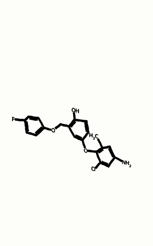 Cc1cc(N)cc(Cl)c1Oc1ccc(O)c(COc2ccc(F)cc2)c1